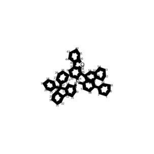 c1ccc(-c2ccc(N(c3ccc4c(c3)C(c3ccccc3)(c3ccccc3)c3ccccc3-4)c3ccc4c(oc5ccccc54)c3-c3ccc4ccccc4c3)cc2)cc1